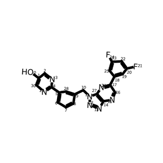 Oc1cnc(-c2cccc(Cn3nnc4ncc(-c5cc(F)cc(F)c5)nc43)c2)nc1